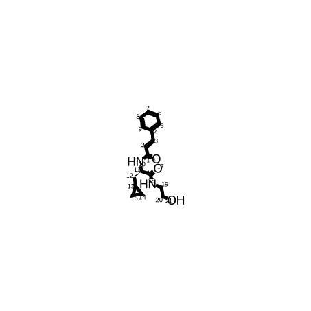 O=C(/C=C/c1ccccc1)N[C@@H](CC1CC1)C(=O)NCCO